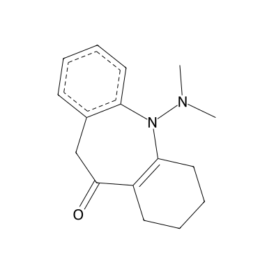 CN(C)N1C2=C(CCCC2)C(=O)Cc2ccccc21